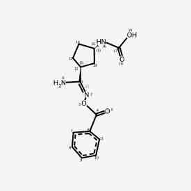 N/C(=N\OC(=O)c1ccccc1)[C@H]1CC[C@H](NC(=O)O)C1